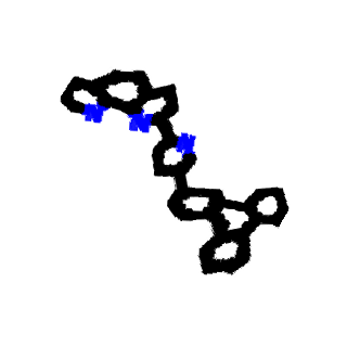 c1cnc2c(c1)ccc1ccc(-c3ccc(-c4ccc5c6ccccc6c6ccccc6c5c4)cn3)nc12